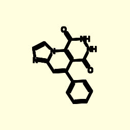 O=c1[nH][nH]c(=O)c2c1c(-c1ccccc1)cc1nccn12